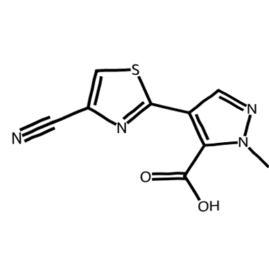 Cn1ncc(-c2nc(C#N)cs2)c1C(=O)O